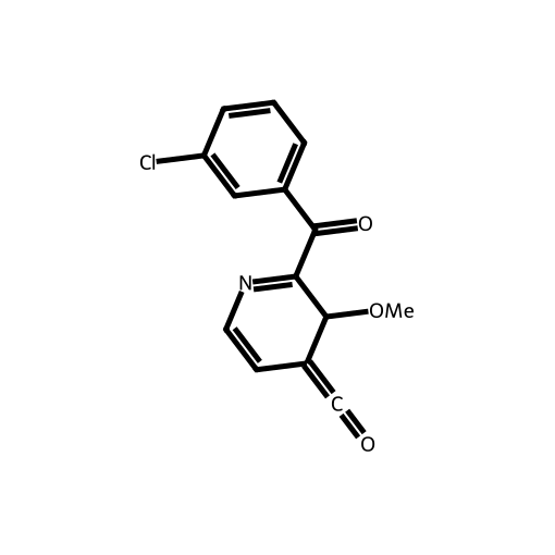 COC1C(=C=O)C=CN=C1C(=O)c1cccc(Cl)c1